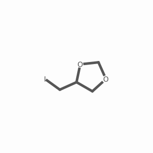 ICC1COCO1